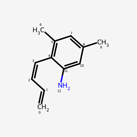 C=C/C=C\c1c(C)cc(C)cc1N